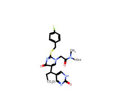 CCCCCCCCN(C)C(=O)Cn1cc(C(CC(=O)OCC)c2cnc(=O)[nH]c2)c(=O)nc1SCc1ccc(F)cc1